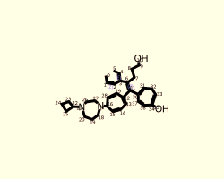 C\C=C/C(=C\C)C(/CCCO)=C(\C1=CC=CC(N2CCCN(C3CCC3)CC2)C=C1)C1=CCC=C(O)C=C1